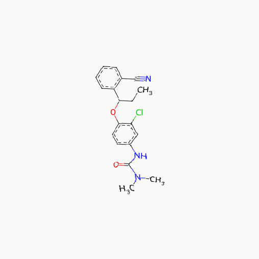 CCC(Oc1ccc(NC(=O)N(C)C)cc1Cl)c1ccccc1C#N